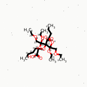 CCCCOC(COCC)(OCC)C(OCC(=O)O)(C(=O)O)C(COCC)(OCC)OCCCC